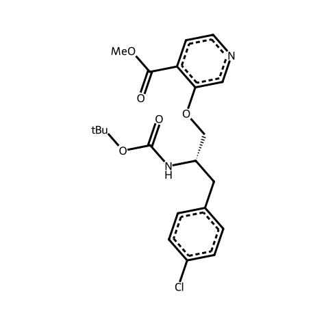 COC(=O)c1ccncc1OC[C@H](Cc1ccc(Cl)cc1)NC(=O)OC(C)(C)C